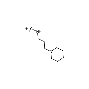 [CH2]NCCCN1CCCCC1